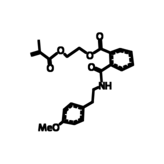 C=C(C)C(=O)OCCOC(=O)c1ccccc1C(=O)NCCc1ccc(OC)cc1